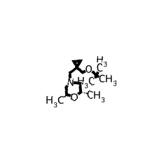 C[C@@H]1CN(CC2(COC(C)(C)C)CC2)C[C@H](C)O1